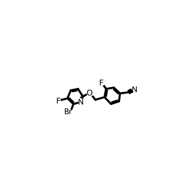 N#Cc1ccc(COc2ccc(F)c(Br)n2)c(F)c1